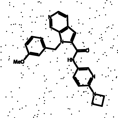 COc1cccc(Cn2c(C(=O)Nc3ccc(N4CCC4)nc3)cc3ccncc32)c1